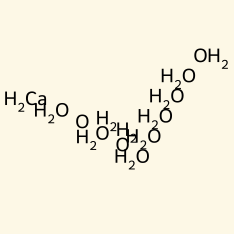 O.O.O.O.O.O.O.O.O.O.[CaH2]